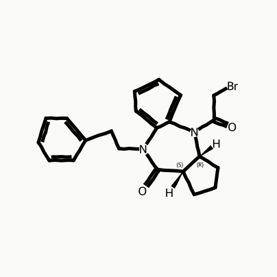 O=C1[C@H]2CCC[C@H]2N(C(=O)CBr)c2ccccc2N1CCc1ccccc1